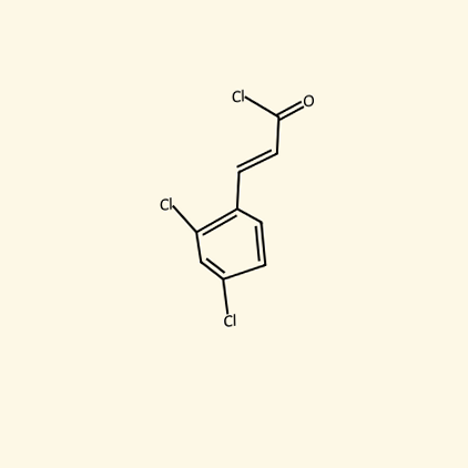 O=C(Cl)C=Cc1ccc(Cl)cc1Cl